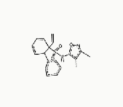 C=CC1(S(=O)(=O)Nc2onc(C)c2C)C=CC=CC1c1ccccc1